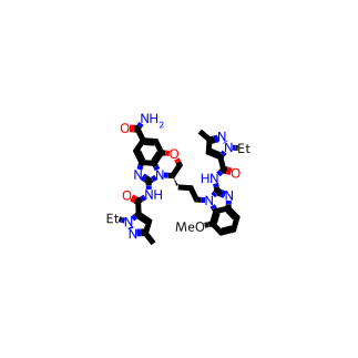 CCn1nc(C)cc1C(=O)Nc1nc2cccc(OC)c2n1CCC[C@H]1COc2cc(C(N)=O)cc3nc(NC(=O)c4cc(C)nn4CC)n1c23